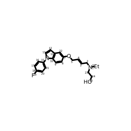 CCN(C/C=C/COc1ccc2c(ccn2-c2ccc(F)cc2)c1)CCO